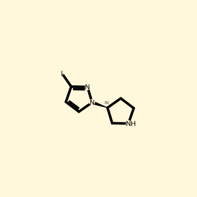 Ic1ccn([C@H]2CCNC2)n1